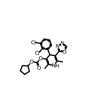 CC1=C(OC(=O)OC2CCCC2)C(c2cccc(Cl)c2Cl)C(c2nnco2)=C(C)N1